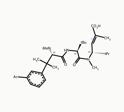 CN[C@H](C(=O)N[C@H](C(=O)N(C)[C@H](/C=C(\C)C(=O)O)C(C)C)C(C)(C)C)C(C)(C)c1cccc(C(C)=O)c1